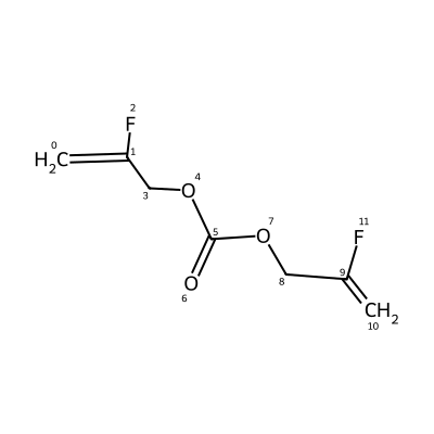 C=C(F)COC(=O)OCC(=C)F